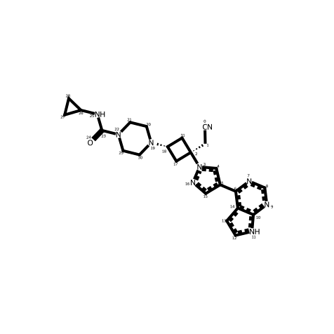 N#CC[C@]1(n2cc(-c3ncnc4[nH]ccc34)cn2)C[C@H](N2CCN(C(=O)NC3CC3)CC2)C1